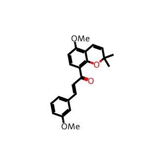 COc1cccc(/C=C/C(=O)c2ccc(OC)c3c2OC(C)(C)C=C3)c1